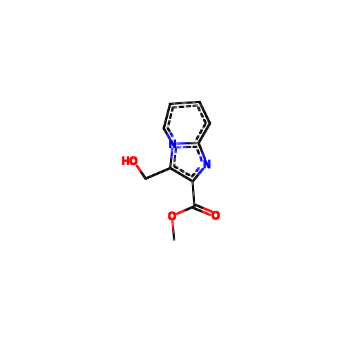 COC(=O)c1nc2ccccn2c1CO